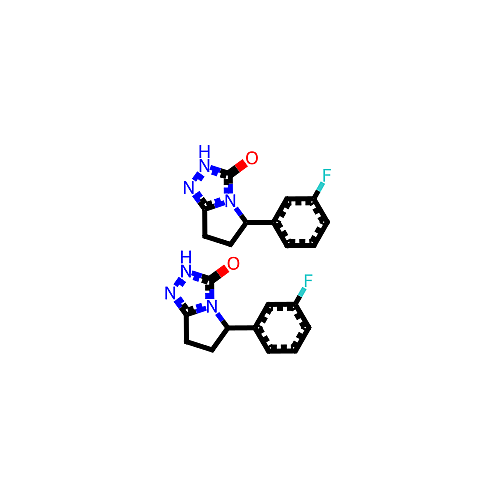 O=c1[nH]nc2n1C(c1cccc(F)c1)CC2.O=c1[nH]nc2n1C(c1cccc(F)c1)CC2